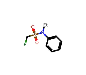 CCN(c1ccccc1)S(=O)(=O)CF